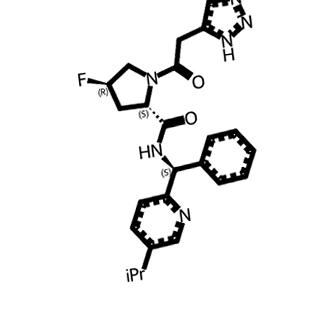 CC(C)c1ccc([C@@H](NC(=O)[C@@H]2C[C@@H](F)CN2C(=O)Cc2cnn[nH]2)c2ccccc2)nc1